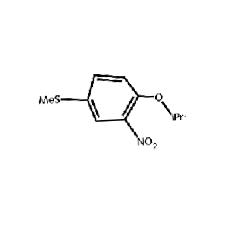 CSc1ccc(O[C](C)C)c([N+](=O)[O-])c1